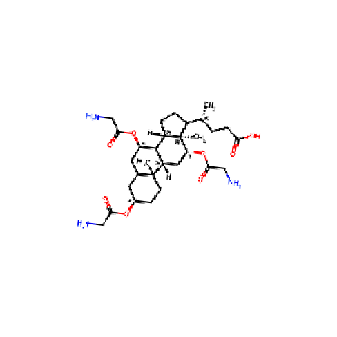 C[C@H](CCC(=O)O)C1CC[C@H]2C3[C@H](OC(=O)CN)CC4C[C@H](OC(=O)CN)CCC4(C)[C@H]3C[C@H](OC(=O)CN)[C@]12C